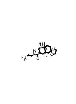 CN1C[C@H](C(=O)NCCC(F)(F)F)C[C@@H]2CC3(CC[C@H]21)OCCO3